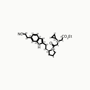 CCOC(=O)CN(CC(=O)N1CCC[C@H]1CCc1cc2ccc(CCC#N)cc2[nH]1)C1CC1